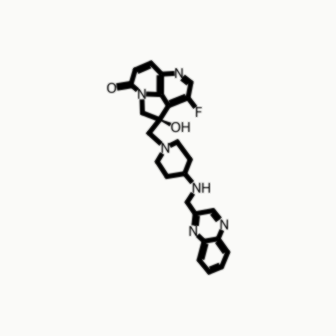 O=c1ccc2ncc(F)c3c2n1C[C@@]3(O)CN1CCC(NCc2cnc3ccccc3n2)CC1